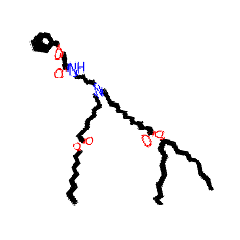 CCCCCCCCCOC(=O)CCCCCCCN(CCCCCCCCCCCC(=O)OC(CCCCCCCC)CCCCCCCC)CCCCNC(=O)COCc1ccccc1